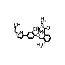 C#CCn1ccc(-c2ccc(OCc3c(C)cccc3-n3nnn(C)c3=O)c(C)c2)n1